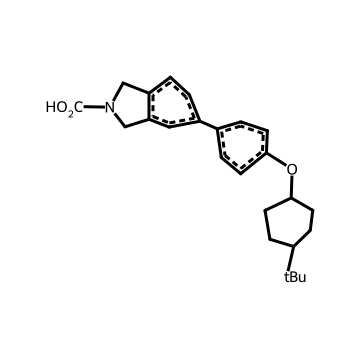 CC(C)(C)C1CCC(Oc2ccc(-c3ccc4c(c3)CN(C(=O)O)C4)cc2)CC1